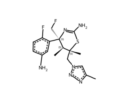 Cc1cn(C[C@@]2(C)SC(N)=N[C@](CF)(c3cc(N)ccc3F)[C@@H]2C)nn1